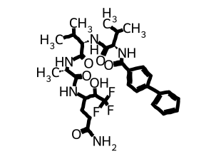 CC(C)[C@H](NC(=O)c1ccc(-c2ccccc2)cc1)C(=O)N[C@H](C(=O)N[C@@H](C)C(=O)NC(CCC(N)=O)C(O)C(F)(F)F)C(C)C